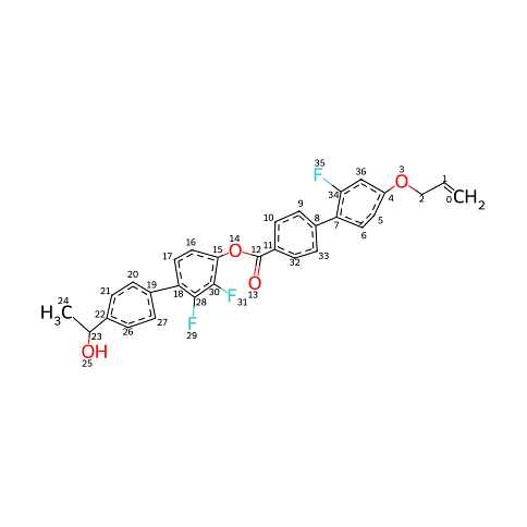 C=CCOc1ccc(-c2ccc(C(=O)Oc3ccc(-c4ccc(C(C)O)cc4)c(F)c3F)cc2)c(F)c1